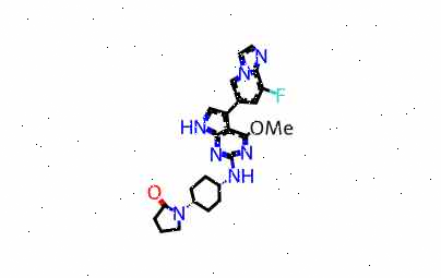 COc1nc(N[C@H]2CC[C@@H](N3CCCC3=O)CC2)nc2[nH]cc(-c3cc(F)c4nccn4c3)c12